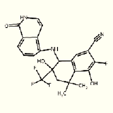 CC1(C)CC(O)(C(F)(F)F)C(Nc2cccc3c(=O)[nH]ccc23)c2cc(C#N)c(F)c(O)c21